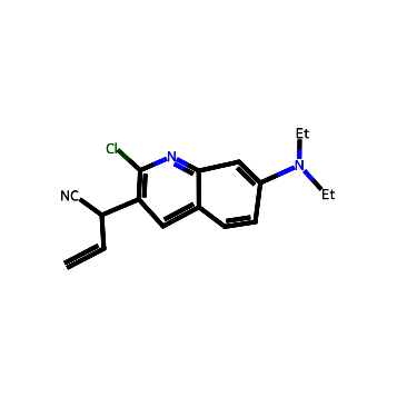 C=CC(C#N)c1cc2ccc(N(CC)CC)cc2nc1Cl